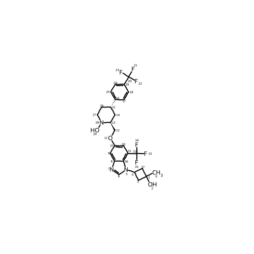 CC1(O)CC(n2cnc3cc(OC[C@@H]4C[C@@H](c5ccc(C(F)(F)F)cc5)CCN4O)cc(C(F)(F)F)c32)C1